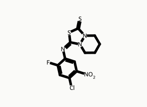 O=[N+]([O-])c1cc(/N=c2/sc(=S)n3n2CCCC3)c(F)cc1Cl